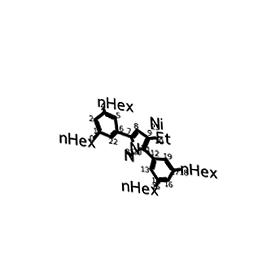 CCCCCCc1cc(CCCCCC)cc(C2=CC(CC)=C(c3cc(CCCCCC)cc(CCCCCC)c3)[N+]2=[N-])c1.[Ni]